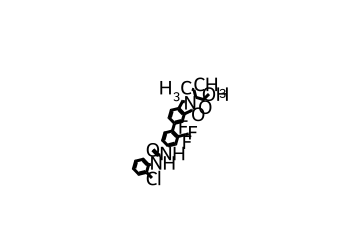 CC(C)C(C(=O)O)N1Cc2ccc(-c3ccc(NC(=O)Nc4ccccc4Cl)cc3C(F)(F)F)cc2C1=O